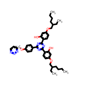 CCCCC(CC)COc1ccc(-c2nc(-c3ccc(OC)cc3)nc(-c3ccc(OCC(CC)CCCC)cc3O)n2)c(O)c1.c1cnnnc1